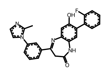 Cc1nccn1-c1cccc(C2=Nc3cc(O)c(-c4ccccc4F)cc3NC(=O)C2)c1